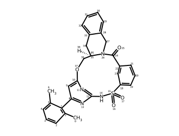 Cc1cccc(C)c1-c1cc2nc(n1)NS(=O)(=O)c1cccc(c1)C(=O)N1Cc3ccccc3C[C@@H]1CO2